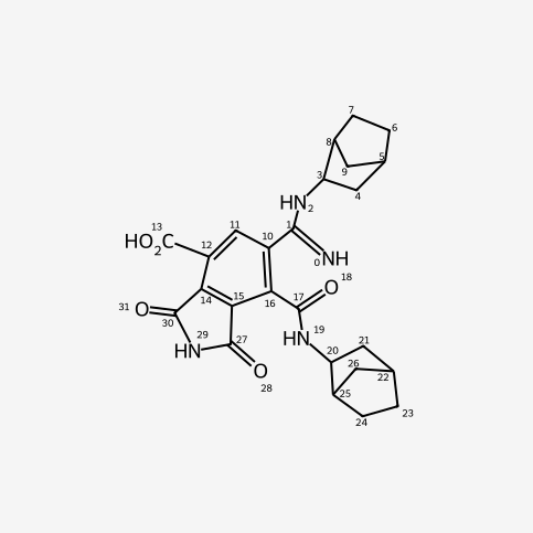 N=C(NC1CC2CCC1C2)c1cc(C(=O)O)c2c(c1C(=O)NC1CC3CCC1C3)C(=O)NC2=O